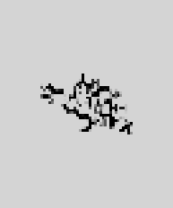 CCC(CCC(CC)NC(=O)C(NC(=O)N(C)Cc1csc(C(C)C)n1)C(C)OC(C)(C)C)NC(=O)OCc1cncs1